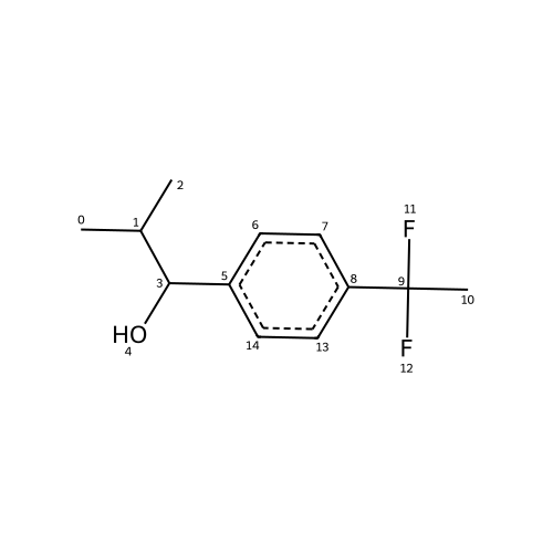 CC(C)C(O)c1ccc(C(C)(F)F)cc1